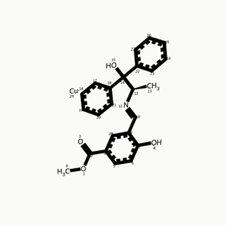 COC(=O)c1ccc(O)c(C=N[C@H](C)C(O)(c2ccccc2)c2ccccc2)c1.[Cu]